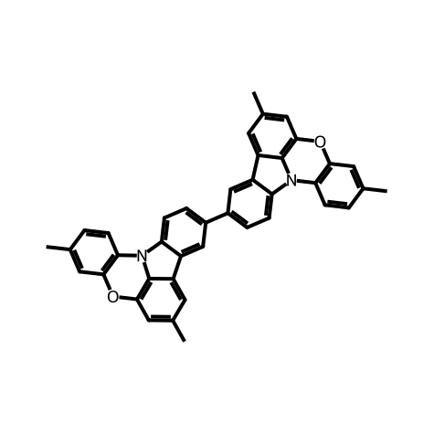 Cc1ccc2c(c1)Oc1cc(C)cc3c4cc(-c5ccc6c(c5)c5cc(C)cc7c5n6-c5ccc(C)cc5O7)ccc4n-2c13